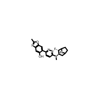 Cc1nc2cc(O)c(-c3ccc(N(C)[C@@H]4CC5CCC(N5)[C@H]4F)nn3)cc2o1